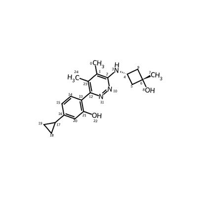 Cc1c(N[C@H]2C[C@@](C)(O)C2)nnc(-c2ccc(C3CC3)cc2O)c1C